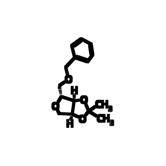 CC1(C)O[C@H]2[C@H](CO[C@@H]2COCc2ccccc2)O1